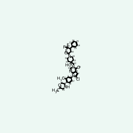 Cc1cc(-n2c(Cl)cc3c(=O)n(CC4(O)CCN(C(=O)CC(c5ccccc5)C(F)(F)F)CC4)cnc32)ccc1[C@H]1CO[C@H](C)CN1